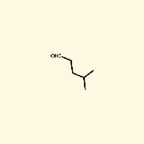 CC(C)CC[C]=O